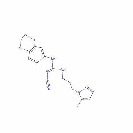 Cc1cncn1CCCNC(=NC#N)Nc1ccc2c(c1)OCCO2